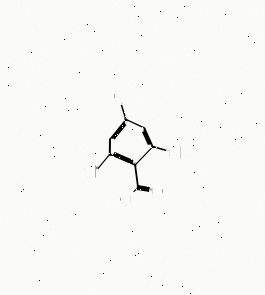 [O]C(=O)c1c(Cl)cc(Cl)cc1Cl